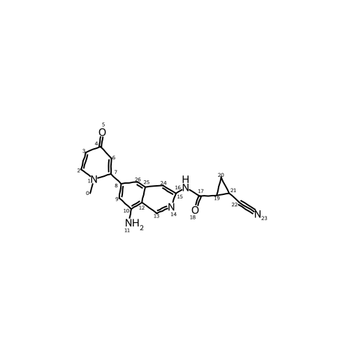 Cn1ccc(=O)cc1-c1cc(N)c2cnc(NC(=O)C3CC3C#N)cc2c1